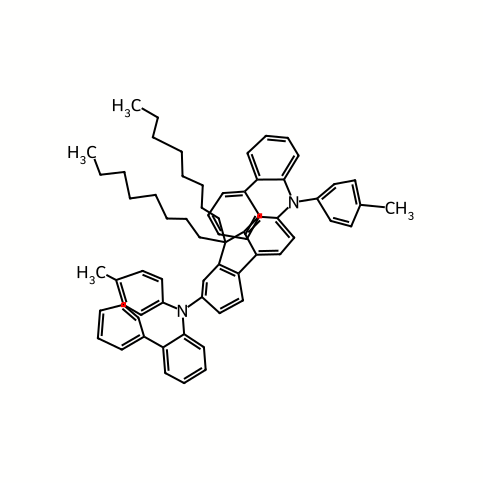 CCCCCCCCC1(CCCCCCCC)c2cc(N(c3ccc(C)cc3)c3ccccc3-c3ccccc3)ccc2-c2ccc(N(c3ccc(C)cc3)c3ccccc3-c3ccccc3)cc21